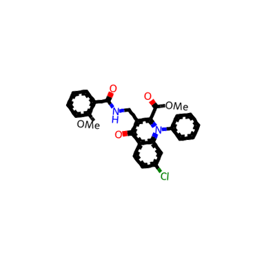 COC(=O)c1c(CNC(=O)c2ccccc2OC)c(=O)c2ccc(Cl)cc2n1-c1ccccc1